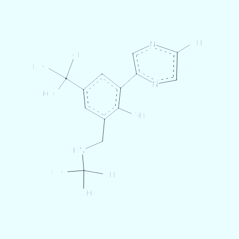 Cc1cnc(-c2cc(C(C)(C)C)cc(CNC(C)(C)C)c2O)cn1